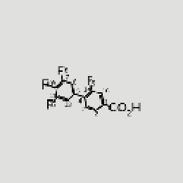 O=C(O)c1ccc(-c2cc(F)c(F)c(F)c2)c(F)c1